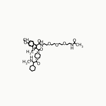 CNC(C(=O)N1CCN(C(=O)c2c(C(=O)NCCOCCOCCOCCNC(C)=O)c3ccc(OC)cc3n2C)CC1)C1CCCCC1